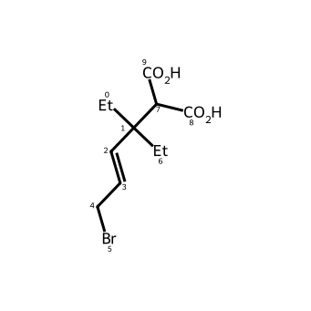 CCC(C=CCBr)(CC)C(C(=O)O)C(=O)O